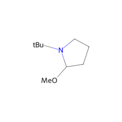 COC1CCCN1C(C)(C)C